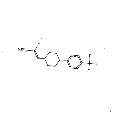 N#CC(F)=C[C@H]1CC[C@H](c2ccc(C(F)(F)F)cc2)CC1